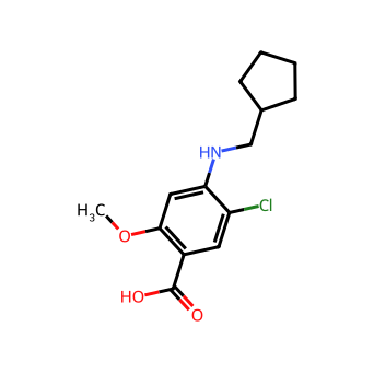 COc1cc(NCC2CCCC2)c(Cl)cc1C(=O)O